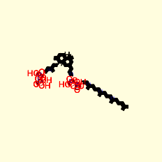 C=C1CC[C@@H]2C(C)(C)CC(C/C=C/OP(=O)(O)OP(=O)(O)OC/C=C(\C)CC/C=C(\C)CC/C=C(\C)CCC=C(C)C)C[C@@]2(C)[C@@H]1CC/C(C)=C/COP(=O)(O)OP(=O)(O)O